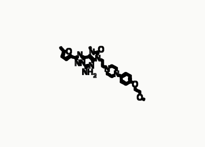 COCCOc1ccc(N2CCN(CCn3c(=O)n(C)c4c3nc(N)n3nc(-c5ccc(C)o5)nc43)CC2)cc1